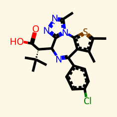 Cc1sc2c(c1C)C(c1ccc(Cl)cc1)=NC([C@@H](C(=O)O)C(C)(C)C)c1nnc(C)n1-2